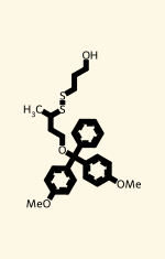 COc1ccc(C(OCCC(C)SSCCCO)(c2ccccc2)c2ccc(OC)cc2)cc1